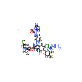 Nc1nc2c(-c3c(Cl)cc4c(N5CCC6(CN(C(=O)n7cncn7)C6)C5)nc(OC[C@@]56CCCN5C[C@H](F)C6)nc4c3F)ccc(F)c2s1